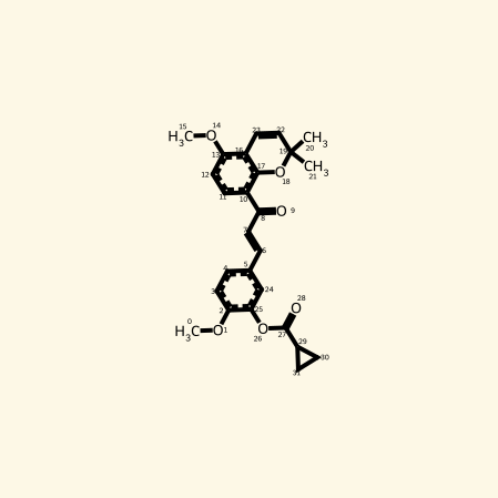 COc1ccc(C=CC(=O)c2ccc(OC)c3c2OC(C)(C)C=C3)cc1OC(=O)C1CC1